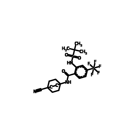 CC(C)(C)S(=O)(=O)Nc1cc(S(F)(F)(F)(F)F)ccc1C(=O)NC12CCC(C#N)(CC1)CC2